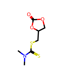 CN(C)C(=S)SCC1COC(=O)O1